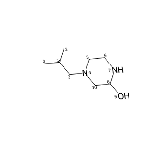 C[C](C)CN1CCNC(O)C1